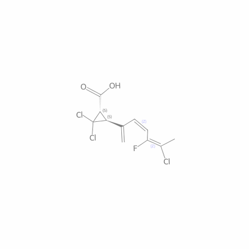 C=C(/C=C\C(F)=C(/C)Cl)[C@@H]1[C@@H](C(=O)O)C1(Cl)Cl